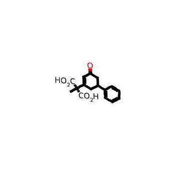 CC(C(=O)O)(C(=O)O)C1=CC(=O)CC(c2ccccc2)C1